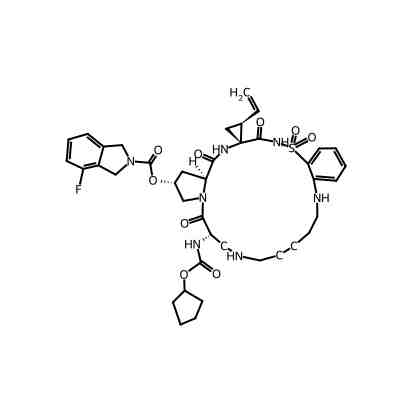 C=C[C@@H]1C[C@@]12NC(=O)[C@@H]1C[C@@H](OC(=O)N3Cc4cccc(F)c4C3)CN1C(=O)[C@@H](NC(=O)OC1CCCC1)CNCCCCCNc1ccccc1S(=O)(=O)NC2=O